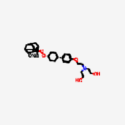 COC1(OO[C@H]2CC[C@@H](c3ccc(OCCN(CCO)CCO)cc3)CC2)C2CC3CC(C2)CC1C3